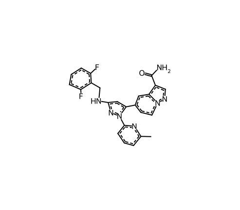 Cc1cccc(-n2nc(NCc3c(F)cccc3F)cc2-c2ccn3ncc(C(N)=O)c3c2)n1